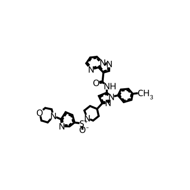 Cc1ccc(-n2nc(C3CCN([S+]([O-])c4ccc(N5CCOCC5)nc4)CC3)cc2NC(=O)c2cnn3cccnc23)cc1